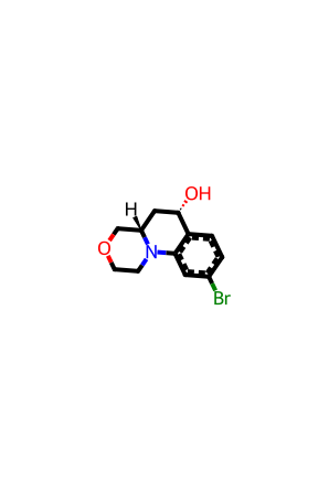 O[C@H]1C[C@H]2COCCN2c2cc(Br)ccc21